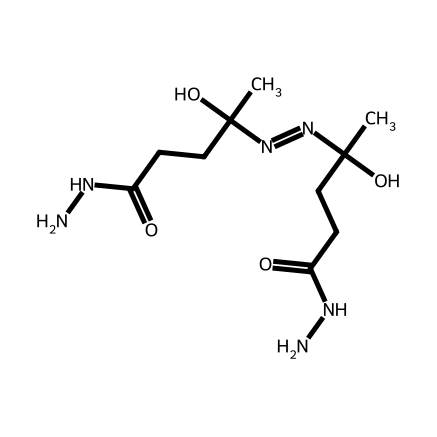 CC(O)(CCC(=O)NN)N=NC(C)(O)CCC(=O)NN